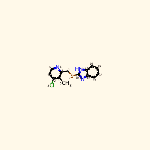 Cc1c(Cl)ccnc1CSc1nc2ccccc2[nH]1